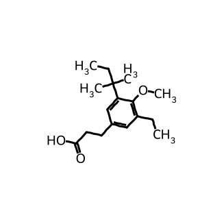 CCc1cc(CCC(=O)O)cc(C(C)(C)CC)c1OC